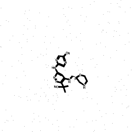 CC(C)(C#N)c1nnc(Nc2cnc(C#N)cn2)cc1NC[C@H]1CNCCO1